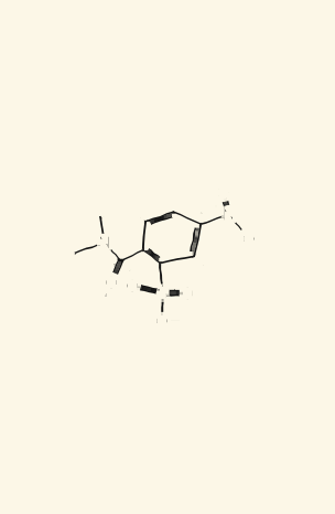 CN(C)C(=O)c1ccc([N+](=O)[O-])cc1S(=O)(=O)O